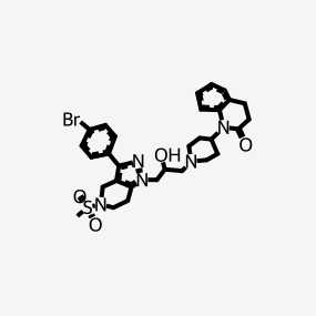 CS(=O)(=O)N1CCc2c(c(-c3ccc(Br)cc3)nn2CC(O)CN2CCC(N3C(=O)CCc4ccccc43)CC2)C1